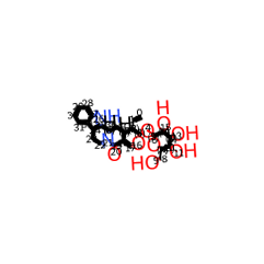 C=C[C@H]1[C@H](O[C@@H]2O[C@H](CO)[C@@H](O)[C@H](O)[C@H]2O)OC=C2C(=O)N3CCc4c([nH]c5ccccc45)[C@@H]3C[C@H]21